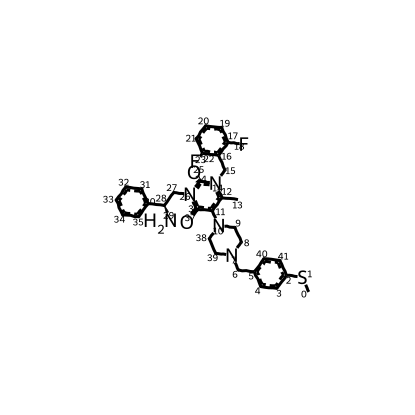 CSc1ccc(CN2CCN(c3c(C)n(Cc4c(F)cccc4F)c(=O)n(C[C@@H](N)c4ccccc4)c3=O)CC2)cc1